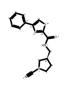 N#CN1CC[C@H](CNC(=O)c2nc(-c3ccccc3)cs2)C1